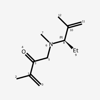 C=C(C)C(=O)CN(C)[C@H](CC)C(=C)C